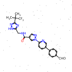 CC(C)(c1n[nH]c(CNC(=O)c2cnn(-c3ccc(-c4ccc(C=O)cc4)cn3)c2)n1)C(F)(F)F